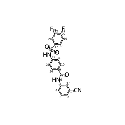 N#Cc1cccc(NC(=O)c2ccc(NS(=O)(=O)c3ccc(F)c(F)c3)cc2)c1